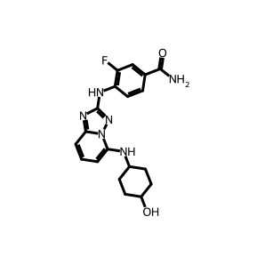 NC(=O)c1ccc(Nc2nc3cccc(NC4CCC(O)CC4)n3n2)c(F)c1